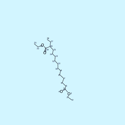 CCOC(=O)CCCCCCCCCCCC(CC)C(=O)OCC